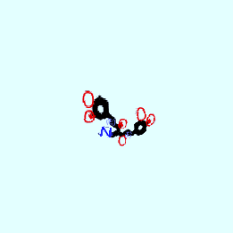 COc1ccc(/C=C/C(=O)C(=CN(C)C)C(=O)/C=C/c2ccc(OC)c(OC)c2)cc1OC